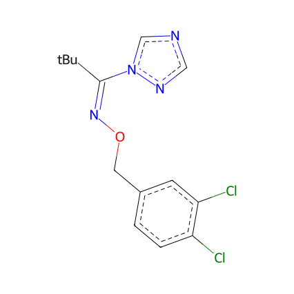 CC(C)(C)C(=NOCc1ccc(Cl)c(Cl)c1)n1cncn1